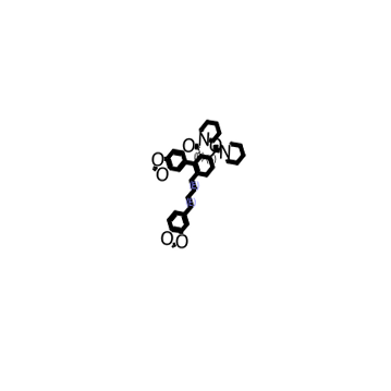 O=C([C@H]1C(c2ccc3c(c2)OCO3)=C(/C=C/C=C/c2ccc3c(c2)OCO3)CC[C@@H]1C(=O)N1CCCCC1)N1CCCCC1